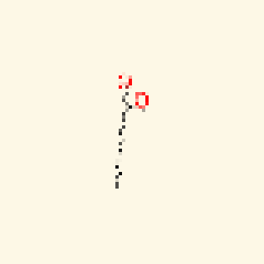 CCCCCCCCCCC([C]=O)CC=O